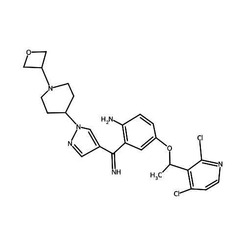 CC(Oc1ccc(N)c(C(=N)c2cnn(C3CCN(C4COC4)CC3)c2)c1)c1c(Cl)ccnc1Cl